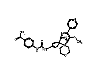 CSc1c(-c2ccncc2)nc2nc1[N+]1(CCOCC1)C21C=CC(NC(=O)Nc2ccc(C(N)=O)cc2)=CC1